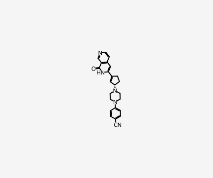 N#Cc1ccc(N2CCN([C@H]3C=C(c4cc5ccncc5c(=O)[nH]4)CC3)CC2)cc1